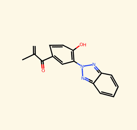 C=C(C)C(=O)c1ccc(O)c(-n2nc3ccccc3n2)c1